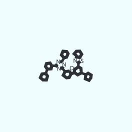 c1ccc(-c2cccc(-c3nc(-c4ccccc4)nc(-c4cccc5c4oc4c(-c6nc7ccccc7s6)cc(-c6ccccc6)cc45)n3)c2)cc1